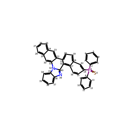 S=P(c1ccccc1)(c1ccccc1)c1ccc2c(ccc3c4cc5ccccc5cc4n4c5ccccc5nc4c23)c1